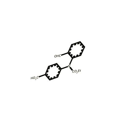 CCOC(=O)N(c1ccc(C(=O)O)cc1)c1ccccc1C=O